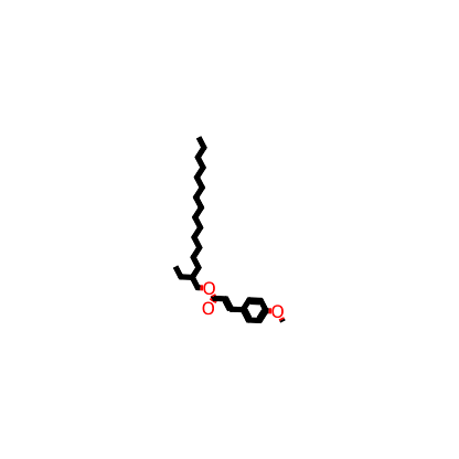 CCCCCCCCCCCCCCC(CC)COC(=O)C=Cc1ccc(OC)cc1